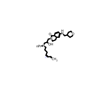 C=C/C=C\CCCN(CCC)CC(O)CN1CCC2C=C(NCC3CCOCC3)C=CC2C1=O